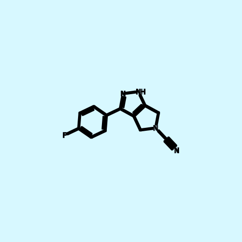 N#CN1Cc2[nH]nc(-c3ccc(F)cc3)c2C1